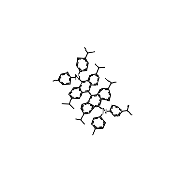 Cc1ccc(N(c2ccc(C(C)C)cc2)c2c3ccc(C(C)C)cc3c(-c3c4cc(C(C)C)ccc4c(N(c4ccc(C)cc4)c4ccc(C(C)C)cc4)c4cc(C(C)C)ccc34)c3ccc(C(C)C)cc23)cc1